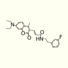 CCN(CC)c1ccc2c(C)c(C=CC(=O)NCCc3cccc(F)c3)c(=O)oc2c1